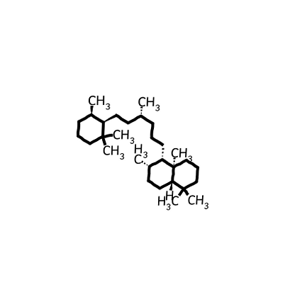 C[C@H](CCC[C@H]1[C@@H](C)CC[C@H]2C(C)(C)CCC[C@]12C)CC[C@@H]1[C@H](C)CCCC1(C)C